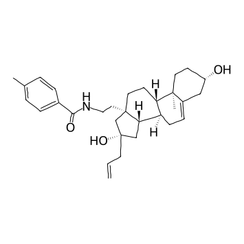 C=CC[C@]1(O)C[C@H]2[C@@H]3CC=C4C[C@@H](O)CC[C@]4(C)[C@H]3CC[C@]2(CCNC(=O)c2ccc(C)cc2)C1